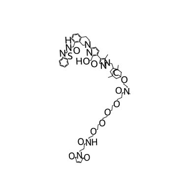 Cc1c(-c2ccc(N3CCc4cccc(C(=O)Nc5nc6ccccc6s5)c4C3)nc2C(=O)O)cnn1CC12CC3(C)CC(OCCN(C)C(=O)CCOCCOCCOCCOCCNC(=O)CCN4C(=O)C=CC4=O)(CC1(C)C3)C2